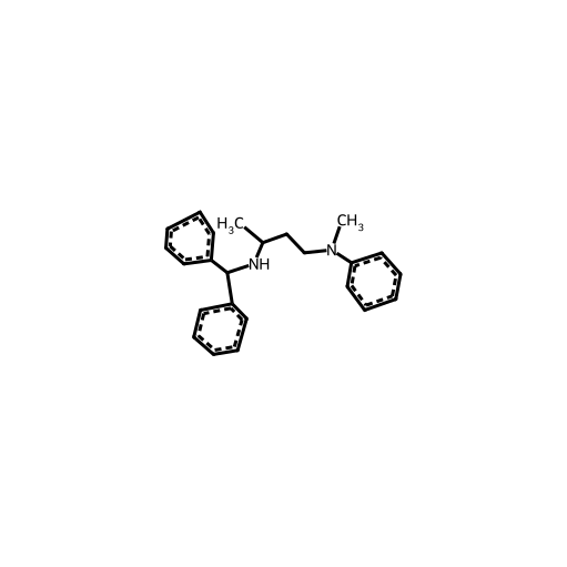 CC(CCN(C)c1ccccc1)NC(c1ccccc1)c1ccccc1